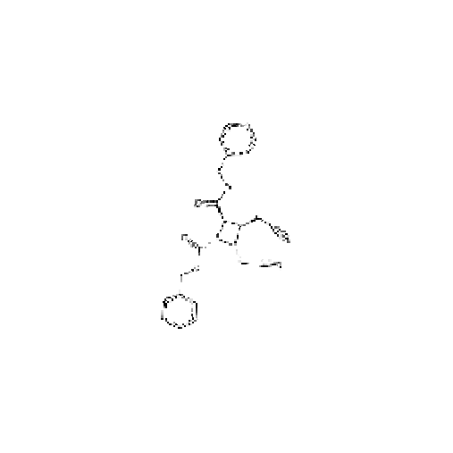 N#CC[C@H]1[C@H](CC#N)[C@H](C(=O)OCc2ccccc2)[C@H]1C(=O)OCc1ccccc1